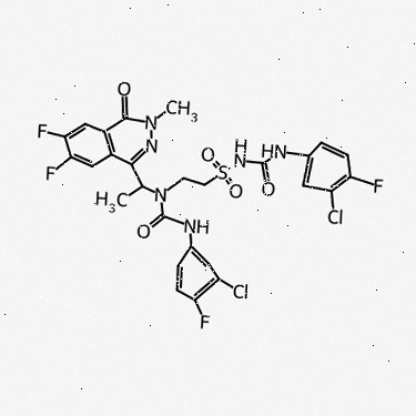 CC(c1nn(C)c(=O)c2cc(F)c(F)cc12)N(CCS(=O)(=O)NC(=O)Nc1ccc(F)c(Cl)c1)C(=O)Nc1ccc(F)c(Cl)c1